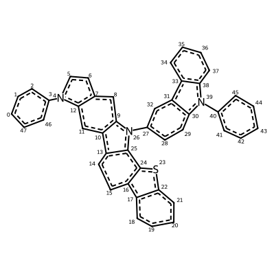 c1ccc(-n2ccc3cc4c(cc32)c2ccc3c5ccccc5sc3c2n4-c2ccc3c(c2)c2ccccc2n3-c2ccccc2)cc1